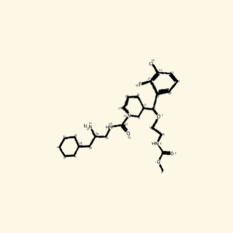 COC(=O)NCCOC(c1cccc(Cl)c1F)C1CCCN(C(=O)NCC(N)CC2CCCCC2)C1